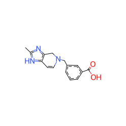 Cc1nc2c([nH]1)C=CN(Cc1cccc(C(=O)O)c1)C2